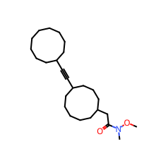 CON(C)C(=O)CC1CCCCCC(C#CC2CCCCCCCCC2)CCC1